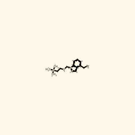 C[Si](C)(C)CCOCn1ncc2c(CBr)cccc21